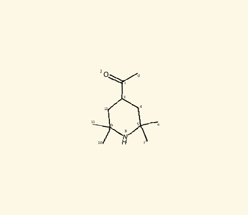 CC(=O)C1CC(C)(C)NC(C)(C)C1